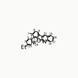 CCc1ccc(-c2c(C)ccc3c2oc2nc4ccccc4cc23)[n+](C)c1